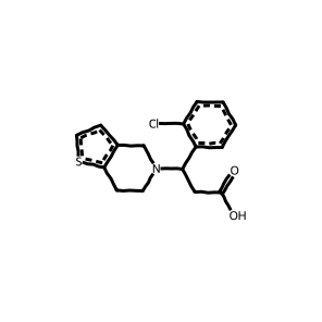 O=C(O)CC(c1ccccc1Cl)N1CCc2sccc2C1